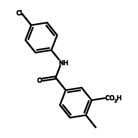 Cc1ccc(C(=O)Nc2ccc(Cl)cc2)cc1C(=O)O